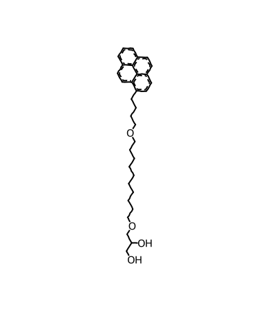 OCC(O)COCCCCCCCCCCOCCCCc1ccc2ccc3cccc4ccc1c2c34